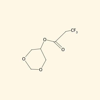 O=C(CC(F)(F)F)OC1COCOC1